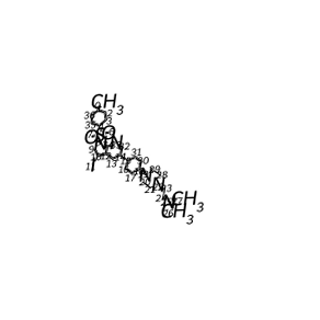 Cc1ccc(S(=O)(=O)n2cc(I)c3cc(-c4ccc(N5CCN(CCN(C)C)CC5)cc4)cnc32)cc1